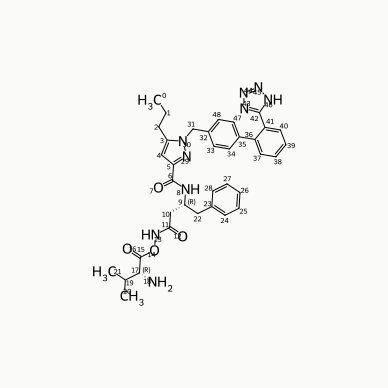 CCCc1cc(C(=O)N[C@@H](CC(=O)NOC(=O)[C@H](N)C(C)C)Cc2ccccc2)nn1Cc1ccc(-c2ccccc2-c2nnn[nH]2)cc1